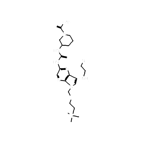 COC(=O)N1CCCC(NC(=O)Nc2cnc3c(ccn3COCC[Si](C)(C)C)n2)C1.NCCN